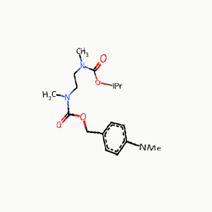 CNc1ccc(COC(=O)N(C)CCN(C)C(=O)OC(C)C)cc1